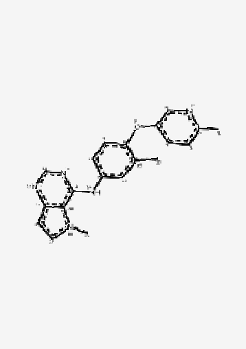 Cc1ccc(Oc2ccc(Nc3ncnc4ccn(C)c34)cc2C)cn1